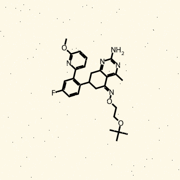 COc1cccc(-c2cc(F)ccc2C2C/C(=N\OCCOC(C)(C)C)c3c(C)nc(N)nc3C2)n1